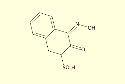 O=C1C(=NO)c2ccccc2CC1S(=O)(=O)O